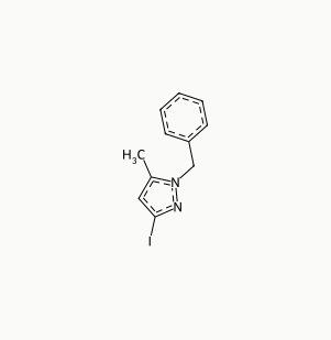 Cc1cc(I)nn1Cc1ccccc1